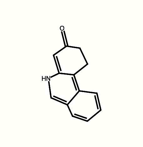 O=C1C=C2NC=c3ccccc3=C2CC1